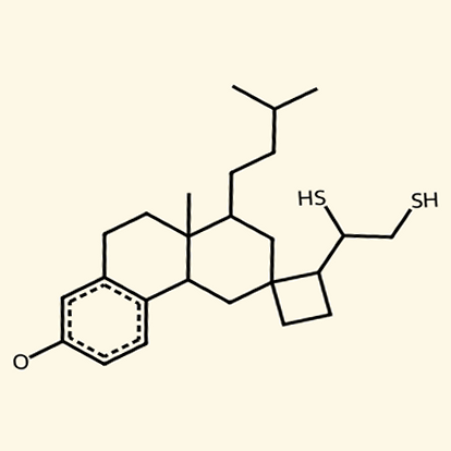 CC(C)CCC1CC2(CCC2C(S)CS)CC2c3ccc(O)cc3CCC12C